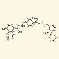 O=C(O)C1(c2cccc(CCCCn3nnc4cc(CNC[C@@H](O)c5ccc(O)c6[nH]c(=O)ccc56)ccc43)c2)CCCCC1